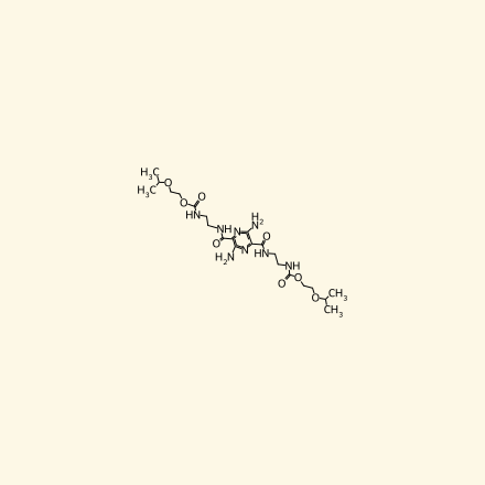 CC(C)OCCOC(=O)NCCNC(=O)c1nc(N)c(C(=O)NCCNC(=O)OCCOC(C)C)nc1N